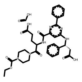 CCOC(=O)N1CCN(C(=O)C(CCC(=O)O)NC(=O)c2cc(N[C@H](CC(=O)O)c3ccccc3)nc(-c3ccccc3)n2)CC1.O=CO